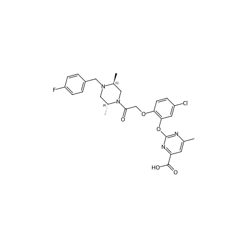 Cc1cc(C(=O)O)nc(Oc2cc(Cl)ccc2OCC(=O)N2C[C@H](C)N(Cc3ccc(F)cc3)C[C@H]2C)n1